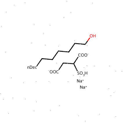 CCCCCCCCCCCCCCCCO.O=C([O-])CC(C(=O)[O-])S(=O)(=O)O.[Na+].[Na+]